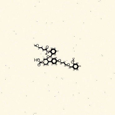 COCCCC(=O)N(C)c1ccccc1COC1CN(C(=O)O)CCC1c1ccc(OCCCOCc2ccccc2OC)cc1